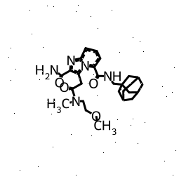 COCCN(C)C(=O)Cc1c(C(N)=O)nc2cccc(C(=O)NCC34CC5CC(CC(C5)C3)C4)n12